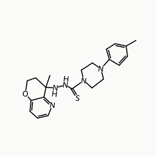 Cc1ccc(N2CCN(C(=S)NNC3(C)CCOc4cccnc43)CC2)cc1